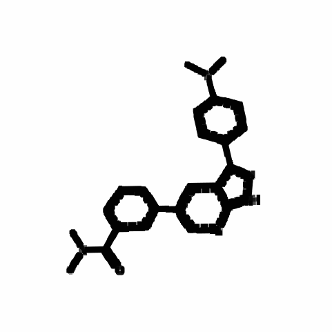 CN(C)C(=O)c1cccc(-c2cnc3[nH]nc(-c4ccc(N(C)C)cc4)c3c2)c1